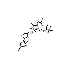 CC(C)OC(=O)C(C)NP(=O)(OCCSC(=O)C(C)(C)C)OCC1CO[C@@H](n2ccc(=O)[nH]c2=O)[C@H]1C